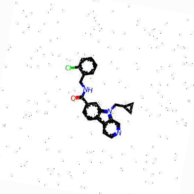 O=C(NCc1ccccc1Cl)c1ccc2c3ccncc3n(CC3CC3)c2c1